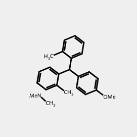 CNC.COc1ccc(C(c2ccccc2C)c2ccccc2C)cc1